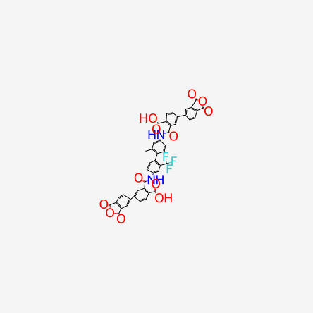 Cc1cc(NC(=O)c2cc(-c3ccc4c(c3)C(=O)OC4=O)ccc2C(=O)O)ccc1-c1ccc(NC(=O)c2cc(-c3ccc4c(c3)C(=O)OC4=O)ccc2C(=O)O)cc1C(F)(F)F